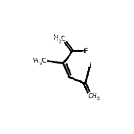 C=C(I)/C=C(/C)C(=C)F